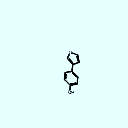 Oc1ccc(-c2[c]occ2)cc1